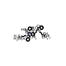 CC1(C)C(/C=C/C2=C(Nc3cccc(N(O)O)c3)C(=C/C=C3/N(CCC[N+](C)(C)C)c4ccccc4C3(C)C)/CCC2)=[N+](CCC[N+](C)(C)C)c2ccccc21